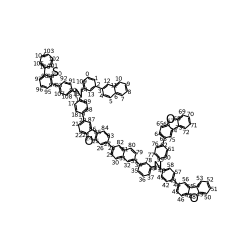 c1cc(-c2ccc3ccccc3c2)cc(N(c2ccc(-c3ccc4oc5cc(-c6ccc7cc(-c8cccc(N(c9ccc(-c%10ccc%11oc%12ccccc%12c%11c%10)cc9)c9ccc(-c%10ccc%11oc%12ccccc%12c%11c%10)cc9)c8)ccc7c6)ccc5c4c3)cc2)c2ccc(-c3cccc4c3sc3ccccc34)cc2)c1